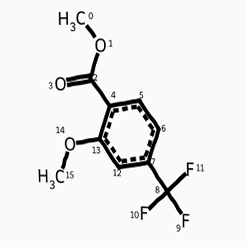 COC(=O)c1ccc(C(F)(F)F)cc1OC